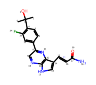 CC(C)(O)c1ccc(-c2cnc3[nH]cc(/C=C/C(N)=O)c3n2)cc1F